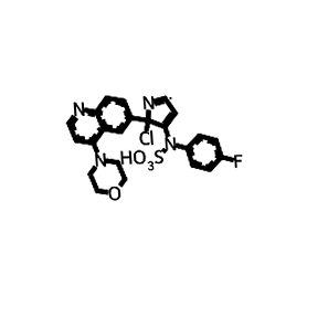 O=S(=O)(O)N(C1=C[C]=NC1(Cl)c1ccc2nccc(N3CCOCC3)c2c1)c1ccc(F)cc1